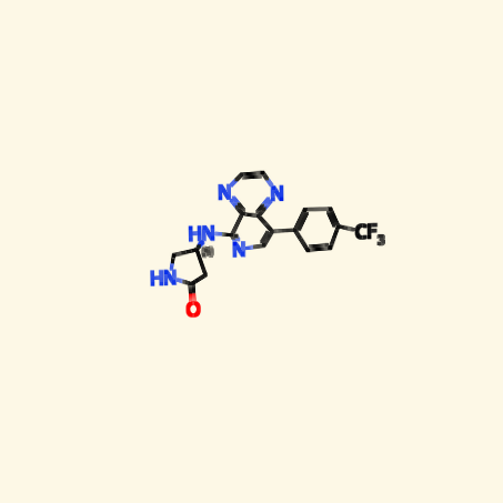 O=C1C[C@H](Nc2ncc(-c3ccc(C(F)(F)F)cc3)c3nccnc23)CN1